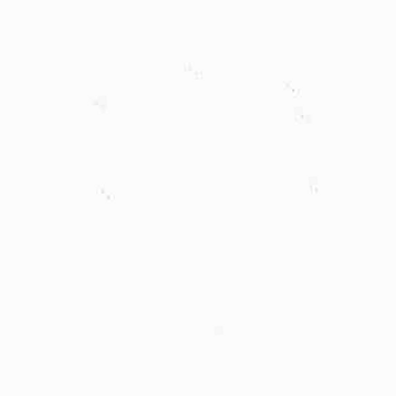 CN(C)c1cncc(-c2cc3c(-c4cc5c(-c6ccccc6F)cccc5[nH]4)n[nH]c3cn2)c1